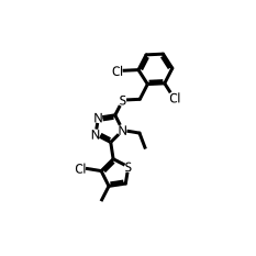 CCn1c(SCc2c(Cl)cccc2Cl)nnc1-c1scc(C)c1Cl